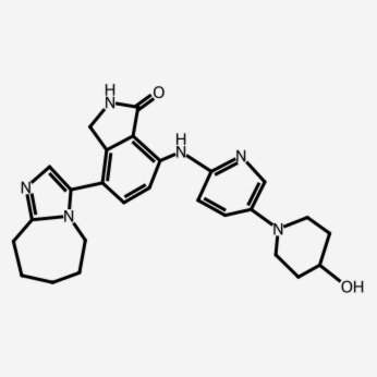 O=C1NCc2c(-c3cnc4n3CCCCC4)ccc(Nc3ccc(N4CCC(O)CC4)cn3)c21